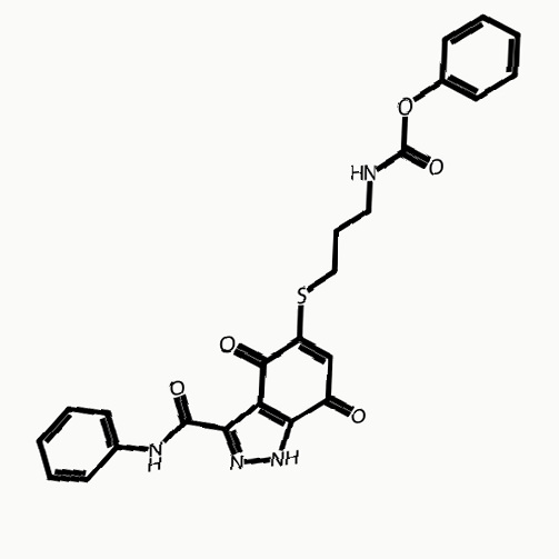 O=C(NCCCSC1=CC(=O)c2[nH]nc(C(=O)Nc3ccccc3)c2C1=O)Oc1ccccc1